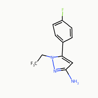 Nc1cc(-c2ccc(F)cc2)n(CC(F)(F)F)n1